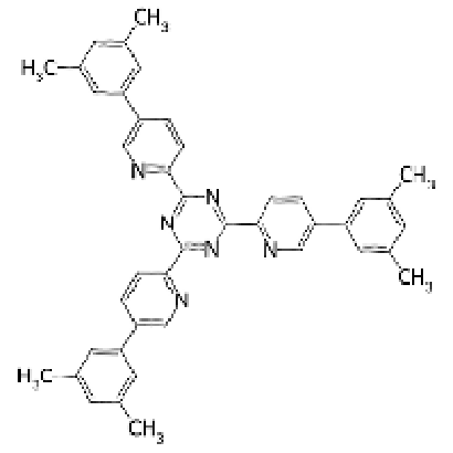 Cc1cc(C)cc(-c2ccc(-c3nc(-c4ccc(-c5cc(C)cc(C)c5)cn4)nc(-c4ccc(-c5cc(C)cc(C)c5)cn4)n3)nc2)c1